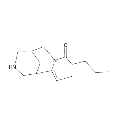 CCCc1ccc2n(c1=O)CC1CNCC2C1